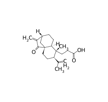 C=C1C(=O)[C@@]23CC[C@H](C(=C)C)[C@@](C)(CCC(=O)O)[C@@H]2CC[C@@H]1C3